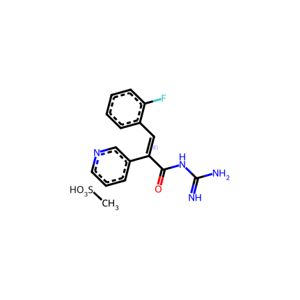 CS(=O)(=O)O.N=C(N)NC(=O)/C(=C/c1ccccc1F)c1cccnc1